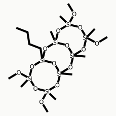 CCCC[Si]12O[Si](C)(OC)O[Si](C)(OC)O[Si](C)(O[Si]3(C)O[Si](C)(OC)O[Si](C)(OC)O[Si](C)(O3)O1)O2